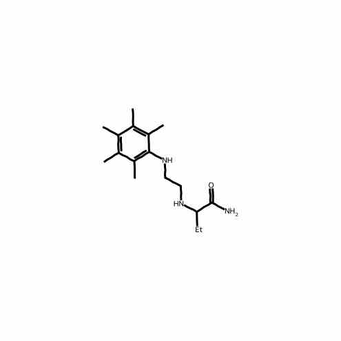 CCC(NCCNc1c(C)c(C)c(C)c(C)c1C)C(N)=O